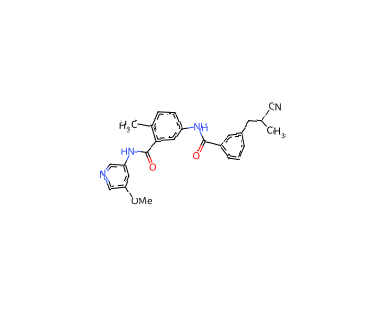 COc1cncc(NC(=O)c2cc(NC(=O)c3cccc(CC(C)C#N)c3)ccc2C)c1